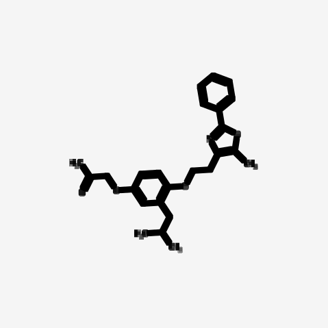 CC(=O)COc1ccc(OCCc2nc(-c3ccccc3)oc2C)c(CC(C)C)c1